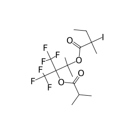 CCC(C)(I)C(=O)OC(C)(C)C(OC(=O)C(C)C)(C(F)(F)F)C(F)(F)F